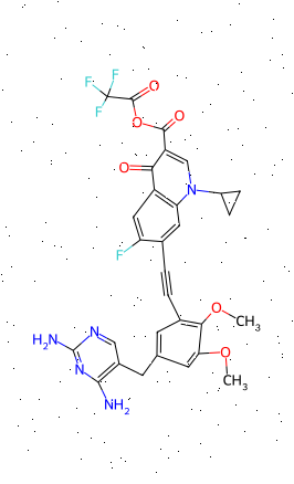 COc1cc(Cc2cnc(N)nc2N)cc(C#Cc2cc3c(cc2F)c(=O)c(C(=O)OC(=O)C(F)(F)F)cn3C2CC2)c1OC